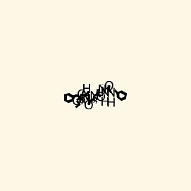 CCOC(Cc1ccccc1)(OCC)[C@H](C)NC(=O)[C@H](C)NC(=O)CN(C)NC(=O)NCc1ccccc1